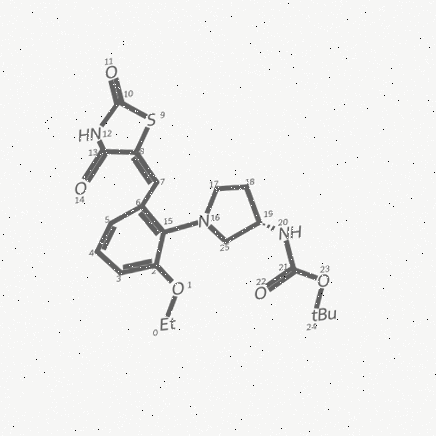 CCOc1cccc(C=C2SC(=O)NC2=O)c1N1CC[C@H](NC(=O)OC(C)(C)C)C1